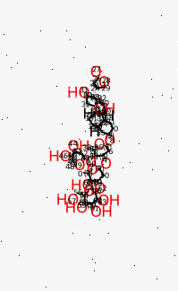 C[C@H]1O[C@H](O[C@H]2C[C@@H](O[C@H]3CC[C@@]4(C)[C@H](CC[C@@H]5[C@@H]4CC[C@]4(C)[C@@H](C6=CC(=O)OC6)[C@@H](O)CC54O)C3)O[C@H](C)[C@H]2O[C@@H]2C[C@H](O)[C@H](O)[C@@H](C)O2)C[C@H](O[C@@H]2O[C@H](CO)[C@@H](O)[C@H](O)[C@H]2O)[C@@H]1O